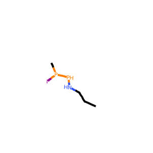 CCCNPP(C)I